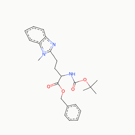 Cn1c(CCC(NC(=O)OC(C)(C)C)C(=O)OCc2ccccc2)nc2ccccc21